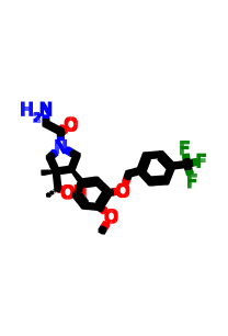 COc1ccc([C@@H]2CN(C(=O)CN)C[C@@]2(C)[C@@H](C)O)cc1OCc1ccc(C(F)(F)F)cc1